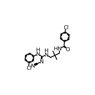 CC(C)(CNC(=O)c1ccc(Cl)cc1)CNC(=NC#N)Nc1cccc(Cl)c1